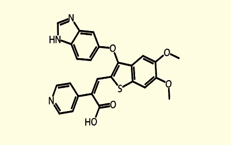 COc1cc2sc(C=C(C(=O)O)c3ccncc3)c(Oc3ccc4[nH]cnc4c3)c2cc1OC